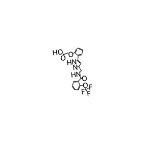 O=C(O)COc1ccccc1-c1cc(CNC(=O)c2ccccc2OC(F)(F)F)n[nH]1